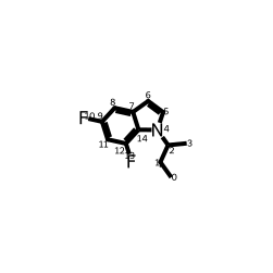 C[CH]C(C)n1ccc2cc(F)cc(F)c21